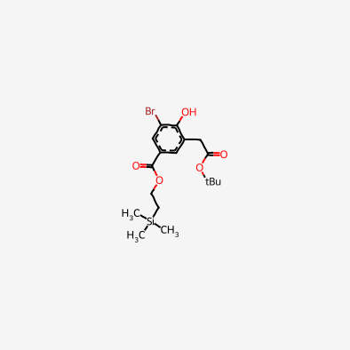 CC(C)(C)OC(=O)Cc1cc(C(=O)OCC[Si](C)(C)C)cc(Br)c1O